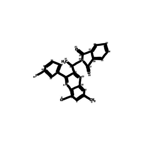 Cc1cc(Cl)c2nc(-c3cccc(F)c3)c(C(C)N3C(=O)c4ccccc4C3=O)nc2c1